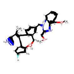 COCc1nc2c(OC)cccc2n1Cc1ccc2c(c1)COc1cc(F)ccc1C2=C(C)C#N